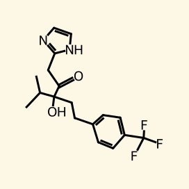 CC(C)C(O)(CCc1ccc(C(F)(F)F)cc1)C(=O)Cc1ncc[nH]1